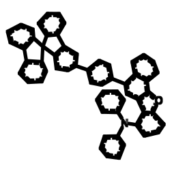 c1ccc(N(c2ccccc2)c2cccc3oc4c5ccccc5c(-c5ccc(-c6ccc7c(c6)-c6ccccc6C76c7ccccc7-c7ccccc76)cc5)cc4c23)cc1